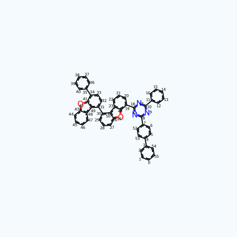 c1ccc(-c2ccc(-c3nc(-c4ccccc4)nc(-c4cccc5c4oc4cccc(-c6ccc(-c7ccccc7)c7oc8ccccc8c67)c45)n3)cc2)cc1